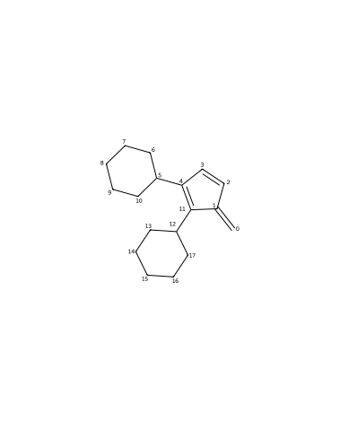 C=C1C=CC(C2CCCCC2)=C1C1CCCCC1